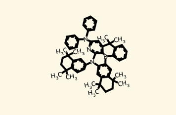 CC1(C)CCC(C)(C)c2cc(N3c4cc5c(cc4B4c6ccccc6C(C)(C)c6cc(N(c7ccccc7)c7ccccc7)nc3c64)C(C)(C)CCC5(C)C)ccc21